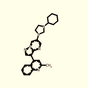 Cc1cc(-c2cnn3cc(N4CCN(C5CCCCC5)C4)cnc23)c2ccccc2n1